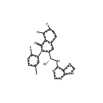 CC[C@@H](Nc1ncnc2[nH]cnc12)c1cc2ccc(F)c(Cl)c2c(=O)n1-c1cc(F)ccc1F